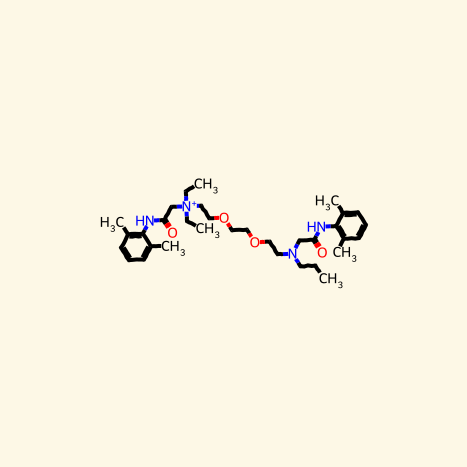 CCCN(CCOCCOCC[N+](CC)(CC)CC(=O)Nc1c(C)cccc1C)CC(=O)Nc1c(C)cccc1C